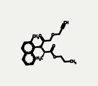 C#CCOCC(=O)N(c1c(C)ccc2ccccc12)[C@@H](C)C(=O)OCCC